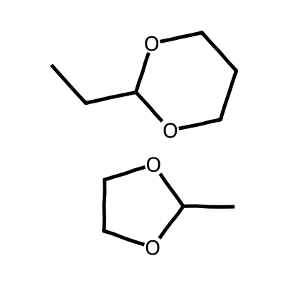 CC1OCCO1.CCC1OCCCO1